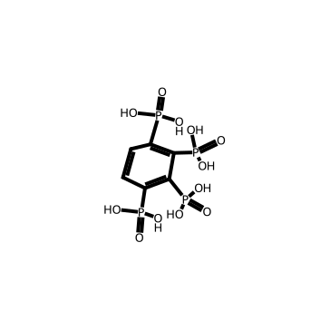 O=P(O)(O)c1ccc(P(=O)(O)O)c(P(=O)(O)O)c1P(=O)(O)O